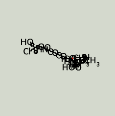 Cc1ncsc1-c1ccc(CNC(=O)[C@@H]2C[C@@H](O)CN2C(=O)[C@@H](NC(=O)CCOCCOCCOCCOCCOCCC(=O)NCCOc2ccc(C(=C(CCCl)c3ccccc3)c3ccc(O)cc3)cc2)C(C)(C)C)cc1